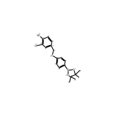 CC1(C)OB(c2ccc(OCc3ccc(C#N)c(Cl)c3)cc2)OC1(C)C